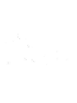 CCN(/N=C/c1ccc2c(c1)COB2O)c1ncnc2ccsc12